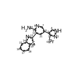 CC(C)c1n[nH]cc1-c1cnc(N)c(-c2nc3ccccc3s2)c1